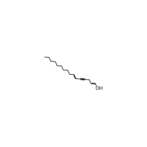 CCCCCCCCCC=CC#CCC=CO